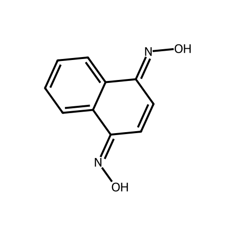 ON=C1C=CC(=NO)c2ccccc21